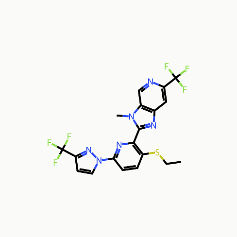 CCSc1ccc(-n2ccc(C(F)(F)F)n2)nc1-c1nc2cc(C(F)(F)F)ncc2n1C